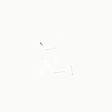 CC[C@H](C)CS(=O)(=O)CC1CC1